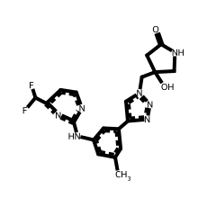 Cc1cc(Nc2nccc(C(F)F)n2)cc(-c2cn(CC3(O)CNC(=O)C3)nn2)c1